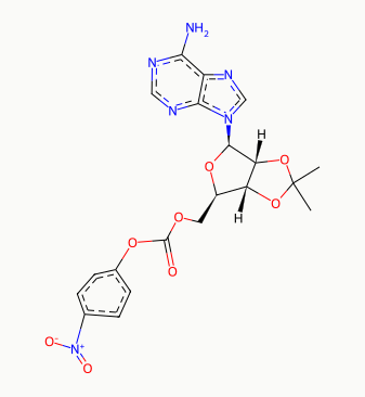 CC1(C)O[C@@H]2[C@H](O1)[C@@H](COC(=O)Oc1ccc([N+](=O)[O-])cc1)O[C@H]2n1cnc2c(N)ncnc21